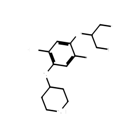 O=Cc1cc(OC(CF)CF)c(F)cc1NC1CCNCC1